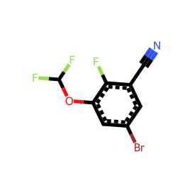 N#Cc1cc(Br)cc(OC(F)F)c1F